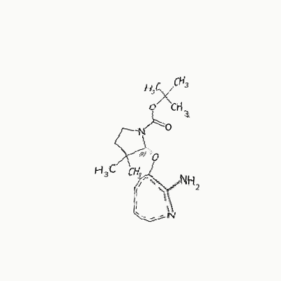 CC(C)(C)OC(=O)N1CCC(C)(C)[C@H]1Oc1cccnc1N